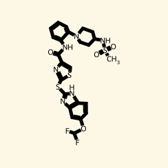 CS(=O)(=O)NC1CCN(c2ccccc2NC(=O)c2csc(Sc3nc4cc(OC(F)F)ccc4[nH]3)n2)CC1